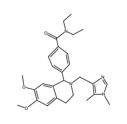 CCN(CC)C(=O)c1ccc(C2c3cc(OC)c(OC)cc3CCN2Cc2ncn(C)c2C)cc1